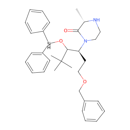 C[C@@H]1NCCN([C@@H](CCOCc2ccccc2)C(O[SiH](c2ccccc2)c2ccccc2)C(C)(C)C)C1=O